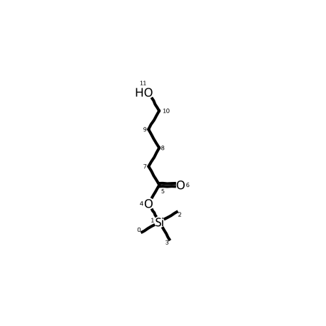 C[Si](C)(C)OC(=O)CCCCO